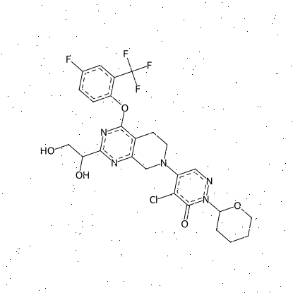 O=c1c(Cl)c(N2CCc3c(nc(C(O)CO)nc3Oc3ccc(F)cc3C(F)(F)F)C2)cnn1C1CCCCO1